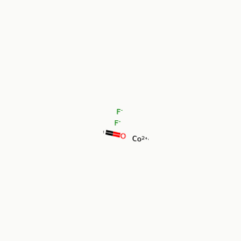 [C]=O.[Co+2].[F-].[F-]